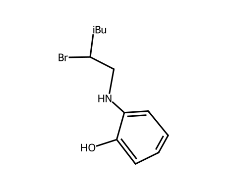 CCC(C)C(Br)CNc1ccccc1O